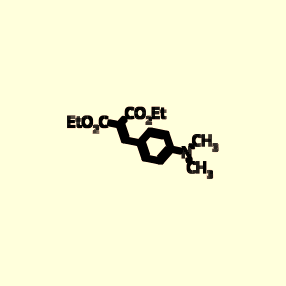 CCOC(=O)C(=Cc1ccc(N(C)C)cc1)C(=O)OCC